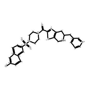 O=C(c1nc2c(s1)CNC(Cc1cccnc1)C2)N1CCN(S(=O)(=O)c2ccc3cc(Cl)ccc3c2)CC1